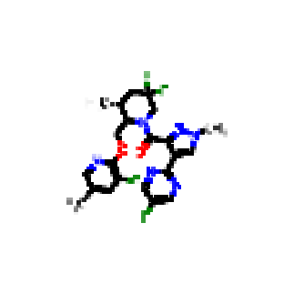 C[C@@H]1CC(F)(F)CN(C(=O)c2nn(C)cc2-c2ncc(F)cn2)C1COc1ncc(C(F)(F)F)cc1F